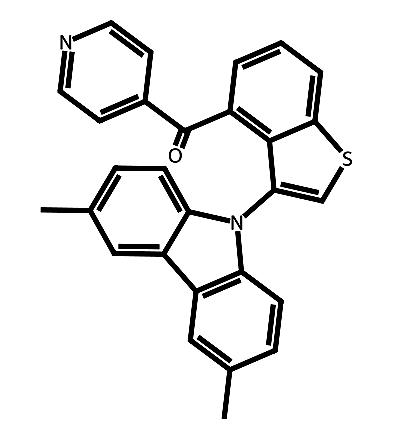 Cc1ccc2c(c1)c1cc(C)ccc1n2-c1csc2cccc(C(=O)c3ccncc3)c12